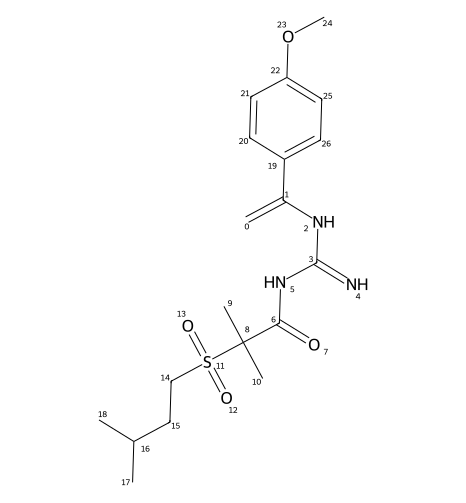 C=C(NC(=N)NC(=O)C(C)(C)S(=O)(=O)CCC(C)C)c1ccc(OC)cc1